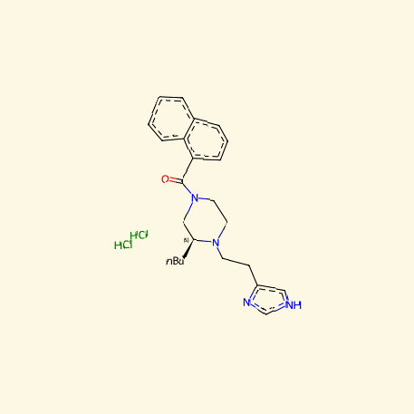 CCCC[C@H]1CN(C(=O)c2cccc3ccccc23)CCN1CCc1c[nH]cn1.Cl.Cl